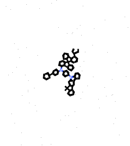 C=C/C(=C\C)c1cccc2c1-c1ccccc1C21c2ccccc2-c2c(N(c3ccc(-c4ccccc4)cc3)c3ccc(-n4c5ccccc5c5cc6c(cc54)C(C)(C)c4ccccc4-6)cc3)cccc21